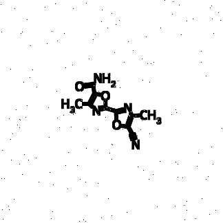 Cc1nc(-c2nc(C)c(C(N)=O)o2)oc1C#N